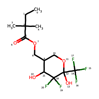 CCC(C)(C)C(=O)OCC1COC(O)(C(F)(F)F)C(F)(F)C1O